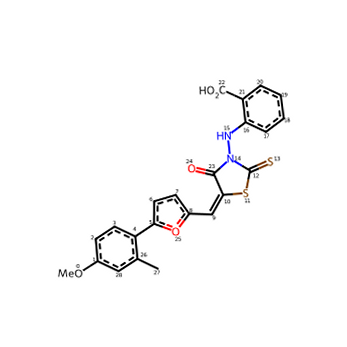 COc1ccc(-c2ccc(/C=C3/SC(=S)N(Nc4ccccc4C(=O)O)C3=O)o2)c(C)c1